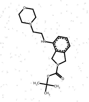 CC(C)(C)OC(=O)N1Cc2cccc(NCCN3CCOCC3)c2C1